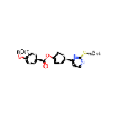 CCCCCCCCOc1ccc(C(=O)Oc2ccc(-c3ccnc(SCCCCCCCC)n3)cc2)cc1